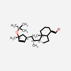 C[C@H](C[C@H]1C=C[C@](C)(O[Si](C)(C)C)C1)[C@H]1CCC2C(=CBr)CCC[C@]21C